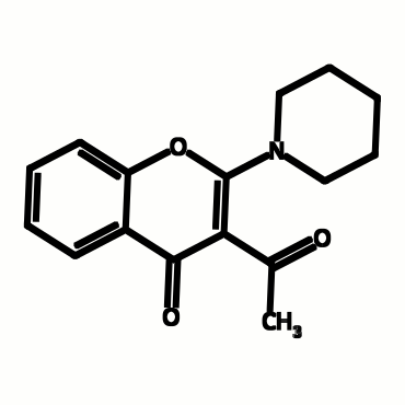 CC(=O)c1c(N2CCCCC2)oc2ccccc2c1=O